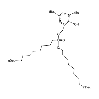 CCCCCCCCCCCCCCCCCCOP(=O)(CCCCCCCCCCCCCCCCCC)OCc1cc(C(C)(C)C)cc(C(C)(C)C)c1O